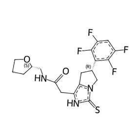 O=C(Cc1[nH]c(=S)n2c1C[C@H](c1c(F)c(F)cc(F)c1F)C2)NC[C@@H]1CCCO1